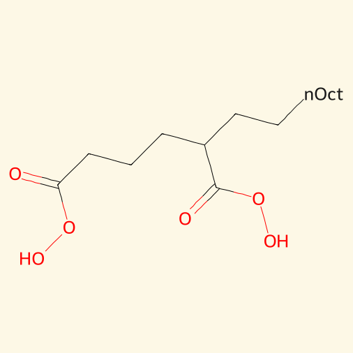 CCCCCCCCCCC(CCCC(=O)OO)C(=O)OO